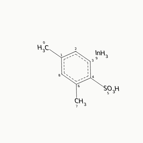 Cc1ccc(S(=O)(=O)O)c(C)c1.[InH3]